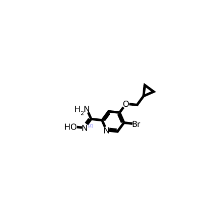 N/C(=N\O)c1cc(OCC2CC2)c(Br)cn1